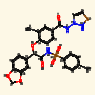 CCCc1cc(C(=O)NN2C=CSN2)ccc1OC(C(=O)NS(=O)(=O)c1ccc(C(C)C)cc1)c1ccc2c(c1)OCO2